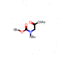 CCCCN(CC(=O)OC)C(=O)OC(C)(C)C